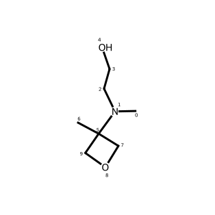 CN(CCO)C1(C)COC1